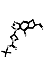 CC(C)(C)OC(=O)N1CC(n2nnc3cc4c(c(F)c32)CC(C=O)C4)C1